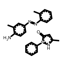 Cc1cc(/N=N/c2ccccc2C)ccc1N.Cc1cc(=O)n(-c2ccccc2)[nH]1